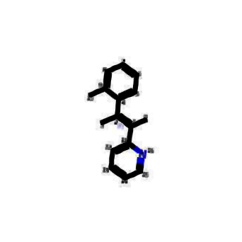 C/C(=C(/C)c1ccccc1C)c1ccccn1